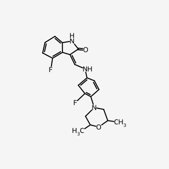 CC1CN(c2ccc(NC=C3C(=O)Nc4cccc(F)c43)cc2F)CC(C)O1